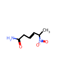 CC(C=CCC(N)=O)[N+](=O)[O-]